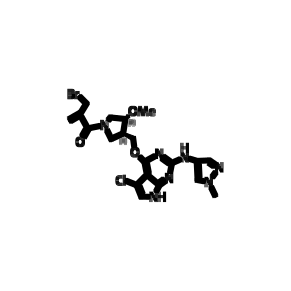 C=C(CBr)C(=O)N1C[C@H](COc2nc(Nc3cnn(C)c3)nc3[nH]cc(Cl)c23)[C@@H](OC)C1